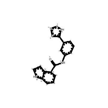 O=C(Nc1cccc(-c2nnn[nH]2)c1)c1cccc2[nH]ccc12